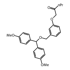 [CH2]CCC(=O)COc1cccc(COC(c2ccc(OC)cc2)c2ccc(OC)cc2)c1